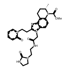 COC(=O)N1c2ccc3c(nc(CCn4ccccc4=O)n3CC(=O)NCCN3CCNC3=O)c2CC[C@@H]1C